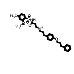 COc1cc(C)ccc1S(=O)(=O)NC(=O)CCNCCCc1ccc(OCCCc2ccccc2)cc1